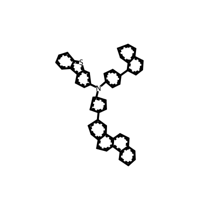 c1ccc2c(-c3ccc(N(c4ccc(-c5ccc6ccc7c8ccccc8ccc7c6c5)cc4)c4ccc5c(c4)sc4ccccc45)cc3)cccc2c1